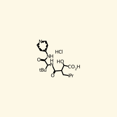 CC(C)CC(C(=O)NC(C(=O)Nc1ccncc1)C(C)(C)C)C(O)C(=O)O.Cl